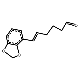 O=[C]CCCC=Cc1cccc2c1OCO2